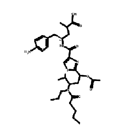 CCCCC(=O)N(CCC)C(CC(OC(C)=O)c1nc(C(=O)N[C@@H](Cc2ccc(N)cc2)CC(C)C(=O)O)cs1)C(C)C